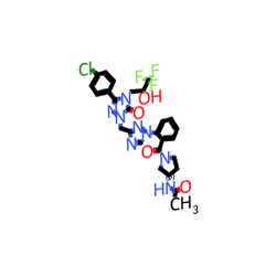 CC(=O)N[C@H]1CCN(C(=O)c2ccccc2-n2cnc(Cn3nc(-c4ccc(Cl)cc4)n(CC(O)C(F)(F)F)c3=O)n2)C1